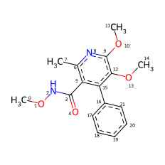 CONC(=O)c1c(C)nc(OC)c(OC)c1-c1ccccc1